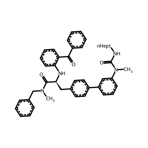 CCCCCCCNC(=O)N(C)c1cccc(-c2ccc(C[C@H](Nc3ccccc3C(=O)c3ccccc3)C(=O)N(C)Cc3ccccc3)cc2)c1